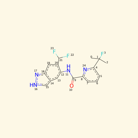 CC(C)(F)c1cccc(C(=O)Nc2cc3c[nH]nc3cc2C(F)F)n1